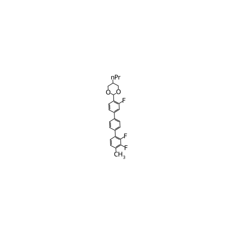 CCCC1COC(c2ccc(-c3ccc(-c4ccc(C)c(F)c4F)cc3)cc2F)OC1